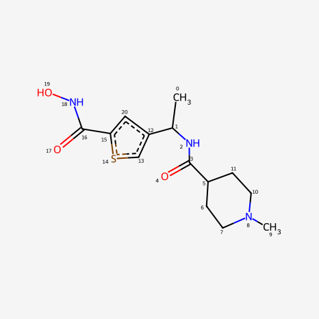 CC(NC(=O)C1CCN(C)CC1)c1csc(C(=O)NO)c1